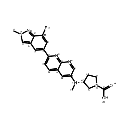 CN(c1cnc2nc(-c3cc(F)c4nn(C)cc4c3)ccc2c1)[C@@H]1CCN(C(=O)O)C1